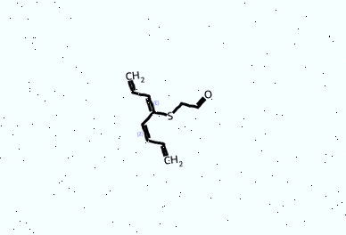 C=C/C=C\C(=C/C=C)SCC=O